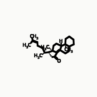 CC(C)=CCC[C@@H](C)[C@H]1CC(=O)C2=C3CCC4CCCC[C@]4(C)[C@H]3CC[C@@]21C